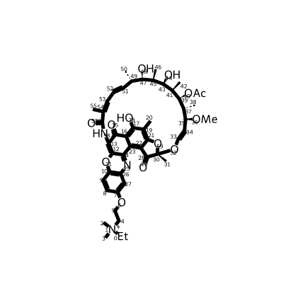 CC[N+](C)(C)CCOc1ccc2oc3c4c(=O)c5c(O)c(C)c6c(c5c-3nc2c1)C(=O)[C@@](C)(O/C=C/[C@H](OC)[C@@H](C)[C@@H](OC(C)=O)[C@H](C)[C@H](O)[C@H](C)[C@@H](O)[C@@H](C)/C=C/C=C(/C)C(=O)N4)O6